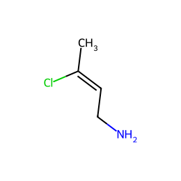 C/C(Cl)=C/CN